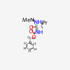 CNNC(=O)[C@H](CC(C)C)NC(=O)OCc1ccccc1